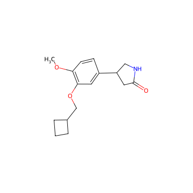 COc1ccc(C2CNC(=O)C2)cc1OCC1CCC1